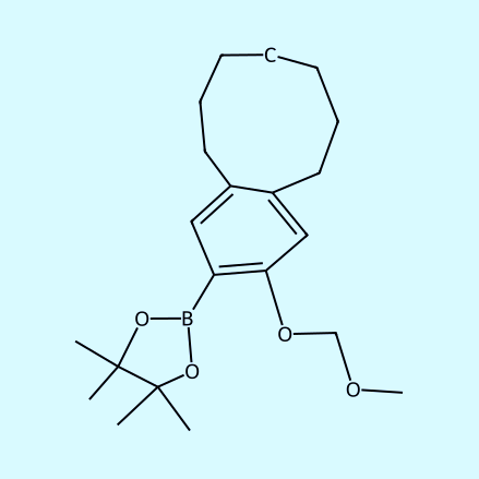 COCOc1cc2c(cc1B1OC(C)(C)C(C)(C)O1)CCCCCCC2